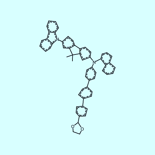 CC1(C)c2cc(N(c3ccc(-c4ccc(-c5ccc(C6OCCO6)cc5)cc4)cc3)c3cccc4ccccc34)ccc2-c2ccc(-n3c4ccccc4c4ccccc43)cc21